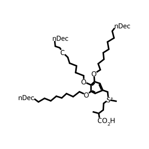 CCCCCCCCCCCCCCCCCCOc1cc(C[S+](C)CCC(C)C(=O)O)cc(OCCCCCCCCCCCCCCCCCC)c1OCCCCCCCCCCCCCCCCCC